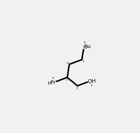 CCCC(CO)CCC(C)CC